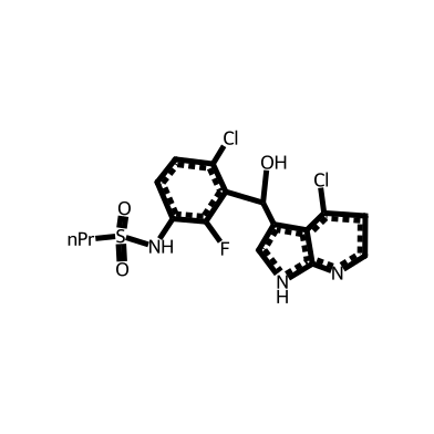 CCCS(=O)(=O)Nc1ccc(Cl)c(C(O)c2c[nH]c3nccc(Cl)c23)c1F